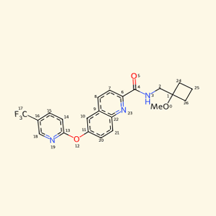 COC1(CNC(=O)c2ccc3cc(Oc4ccc(C(F)(F)F)cn4)ccc3n2)CCC1